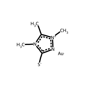 Cc1n(C)c([S-])n[n+]1C.[Au]